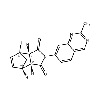 Cc1ncc2ccc(N3C(=O)[C@@H]4[C@H](C3=O)[C@@H]3C=C[C@H]4C3)cc2n1